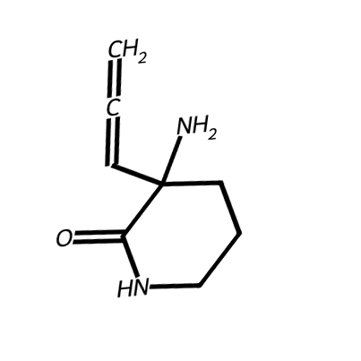 C=C=CC1(N)CCCNC1=O